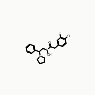 O=C(Cc1ccc(Cl)c(Cl)c1)N(O)CC(c1ccccc1)N1CCCC1